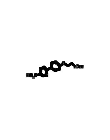 CCCCCCCCCCCCOc1ccc(-c2cnc(C(=O)O)cn2)cc1